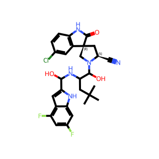 CC(C)(C)CC(NC(O)c1cc2c(F)cc(F)cc2[nH]1)C(O)N1C[C@]2(C[C@H]1C#N)C(=O)Nc1ccc(Cl)cc12